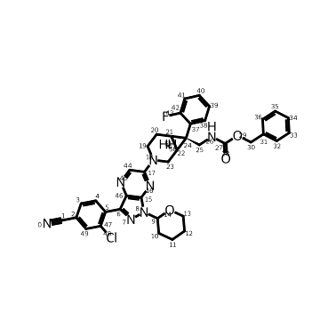 N#Cc1ccc(-c2nn(C3CCCCO3)c3nc(N4CC[C@@H]5[C@H](C4)[C@@]5(CNC(=O)OCc4ccccc4)c4ccccc4F)cnc23)c(Cl)c1